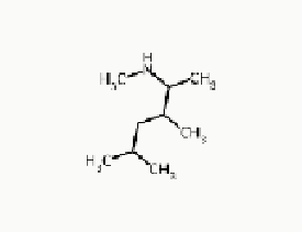 CNC(C)C(C)CC(C)C